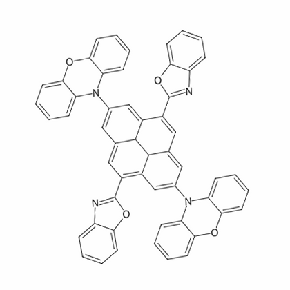 C1=C(c2nc3ccccc3o2)C2=CC(N3c4ccccc4Oc4ccccc43)=CC3=CC(c4nc5ccccc5o4)=C4C=C(N5c6ccccc6Oc6ccccc65)C=C1C4C32